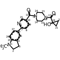 CN1CCc2cc(-c3ccc(C(=O)N4CCN(C(=O)C5(O)CC5)CC4)cn3)ccc21